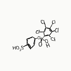 O=P(O)(Oc1ccc(S(=O)(=O)O)cc1)c1c(Cl)c(Cl)c(Cl)c(Cl)c1Cl